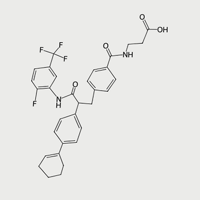 O=C(O)CCNC(=O)c1ccc(CC(C(=O)Nc2cc(C(F)(F)F)ccc2F)c2ccc(C3=CCCCC3)cc2)cc1